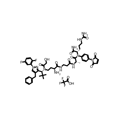 C[C@H](NC(=O)CCNC(=O)[C@@H](N)CCN(C(=O)CO)[C@@H](c1nn(-c2cc(F)ccc2F)cc1Cc1ccccc1)C(C)(C)C)C(=O)N(c1ccc(N2C(=O)C=CC2=O)cc1)[C@@H](CCCNC(N)=O)C(N)=O.O=C(O)C(F)(F)F